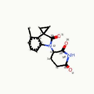 Cc1cccc2c1C1(CC1)C(=O)N2C1CCC(=O)NC1=O